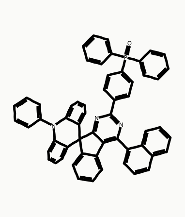 O=P(c1ccccc1)(c1ccccc1)c1ccc(-c2nc(-c3cccc4ccccc34)c3c(n2)C2(c4ccccc4-3)c3ccccc3N(c3ccccc3)c3ccccc32)cc1